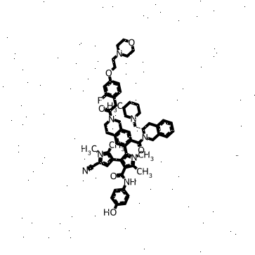 Cc1c(-c2c(C(=O)Nc3ccc(O)cc3)c(C)n(C)c2-c2cc3c(cc2C(=O)N2Cc4ccccc4C[C@H]2CN2CCC[C@@H](C)C2)CN(C(=O)Cc2ccc(OCCN4CCOCC4)cc2F)CC3)cc(C#N)n1C